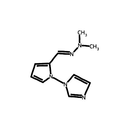 CN(C)N=Cc1cccn1-n1ccnc1